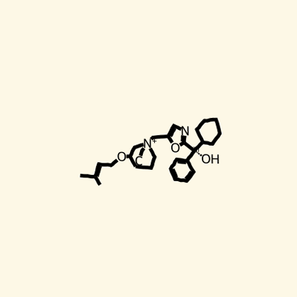 CC(C)=CCOC1C[N+]2(Cc3cnc([C@](O)(c4ccccc4)C4CCCCC4)o3)CCC1CC2